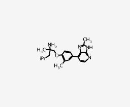 Cc1nc2c(-c3ccc(OCC(C)(N)CC(C)C)c(C)c3)ccnc2[nH]1